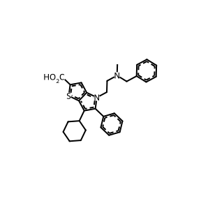 CN(CCn1c(-c2ccccc2)c(C2CCCCC2)c2sc(C(=O)O)cc21)Cc1ccccc1